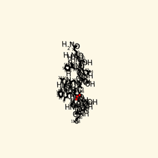 CC[C@H](C)[C@H](NC(=O)[C@H](Cc1ccccc1)NC(=O)[C@H](CC(C)C)NC(=O)CNC(=O)[C@@H](NC(=O)[C@H](CO)NC(=O)[C@H](CC(C)C)NC(=O)[C@H](Cc1c[nH]c2ccccc12)NC(=O)[C@@H](NC(=O)[C@@H](N)CCC(N)=O)[C@@H](C)O)C(C)C)C(=O)N[C@H](C(=O)N[C@@H](C)C(=O)N[C@@H](Cc1c[nH]cn1)C(=O)N[C@@H](CC(=O)O)C(=O)N[C@@H](C)C(=O)N[C@@H](CCSC)C(=O)O)C(C)C